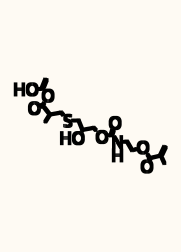 C=C(O)OC(=O)C(C)CSCC(O)COC(=O)NCCOC(=O)C(=C)C